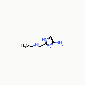 CCNCc1nc(N)c[nH]1